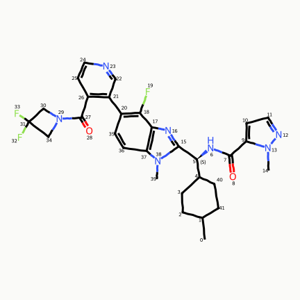 CC1CCC([C@H](NC(=O)c2ccnn2C)c2nc3c(F)c(-c4cnccc4C(=O)N4CC(F)(F)C4)ccc3n2C)CC1